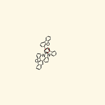 c1cc(-c2cccc3c2oc2ccccc23)cc(N(c2ccccc2-n2c3ccccc3c3ccccc32)c2cccc3oc4c5ccccc5ccc4c23)c1